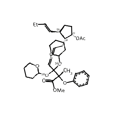 CCC=C[C@H]1CC[C@H](OC(C)=O)[C@@H]1CC=C=CC([16O]C1CCCCO1)([16O]C1CCCCO1)C(C)(Oc1ccccc1)C(=O)OC